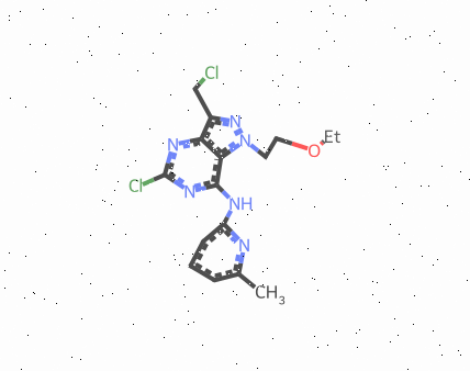 CCOCCn1nc(CCl)c2nc(Cl)nc(Nc3cccc(C)n3)c21